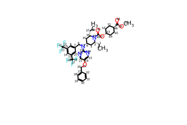 CC[C@@H]1C[C@H](N(Cc2cc(C(F)(F)F)cc(C(F)(F)F)c2)c2ncc(OCc3ccccc3)cn2)C[C@H](CC)N1C(=O)O[C@H]1CC[C@H](C(=O)OC)CC1